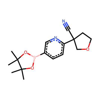 CC1(C)OB(c2ccc(C3(C#N)CCOC3)nc2)OC1(C)C